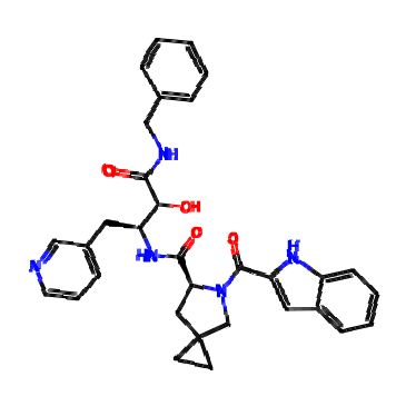 O=C(NCc1ccccc1)C(O)[C@H](Cc1cccnc1)NC(=O)[C@@H]1CC2(CC2)CN1C(=O)c1cc2ccccc2[nH]1